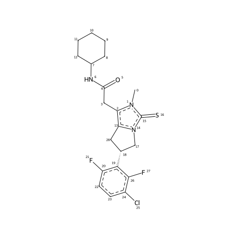 Cn1c(CC(=O)NC2CCCCC2)c2n(c1=S)C[C@H](c1c(F)ccc(Cl)c1F)C2